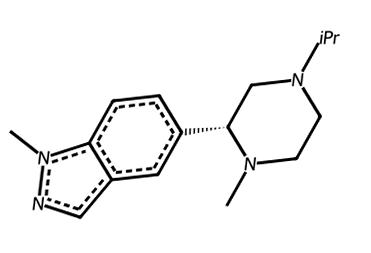 CC(C)N1CCN(C)[C@H](c2ccc3c(cnn3C)c2)C1